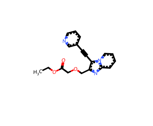 CCOC(=O)COCc1nc2ccccn2c1C#Cc1cccnc1